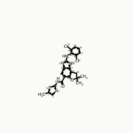 Cc1cnc(NC(=O)c2cc3nc(Nc4c(Cl)cccc4Cl)[nH]c3c3c2OC(C)(C)C3)s1